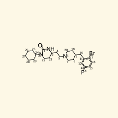 O=C1NC(CCN2CCC(Cc3cc(F)ccc3Br)CC2)CCN1C1CCCCC1